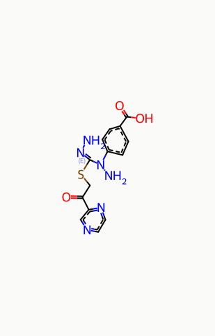 N/N=C(/SCC(=O)c1cnccn1)N(N)c1ccc(C(=O)O)cc1